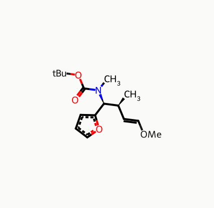 COC=C[C@H](C)[C@@H](c1ccco1)N(C)C(=O)OC(C)(C)C